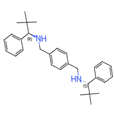 CC(C)(C)[C@H](NCc1ccc(CN[C@@H](c2ccccc2)C(C)(C)C)cc1)c1ccccc1